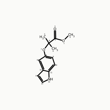 COC(=O)C(C)(C)Oc1ccc2[nH]ccc2c1